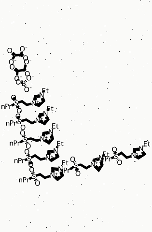 CCCS(=O)(=O)CC[n+]1ccn(CC)c1.CCCS(=O)(=O)CC[n+]1ccn(CC)c1.CCCS(=O)(=O)CC[n+]1ccn(CC)c1.CCCS(=O)(=O)CC[n+]1ccn(CC)c1.CCCS(=O)(=O)CC[n+]1ccn(CC)c1.CCCS(=O)(=O)CC[n+]1ccn(CC)c1.CCCS(=O)(=O)CC[n+]1ccn(CC)c1.O=C([O-])C(=O)[O-].O=C([O-])C(=O)[O-].[O-]B([O-])[O-]